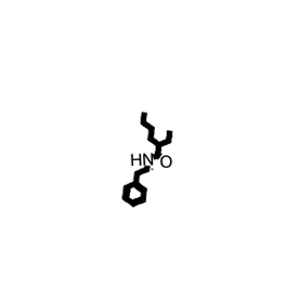 CCCCC(CC)C(=O)N[CH]Cc1ccccc1